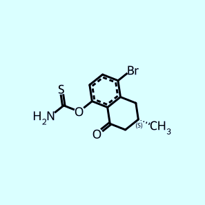 C[C@@H]1CC(=O)c2c(OC(N)=S)ccc(Br)c2C1